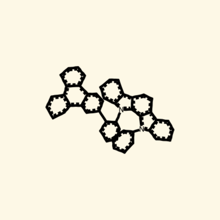 c1ccc(-n2c3ccccc3c3ccc4c5ccccc5n(-c5ccccc5-c5ccc6c7ccccc7c7ccccc7c6c5)c4c32)cc1